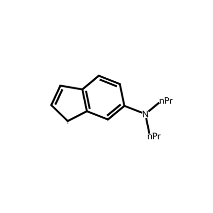 CCCN(CCC)c1ccc2c(c1)[CH]C=C2